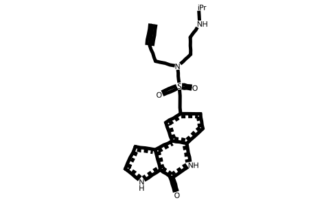 C#CCN(CCNC(C)C)S(=O)(=O)c1ccc2[nH]c(=O)c3[nH]ccc3c2c1